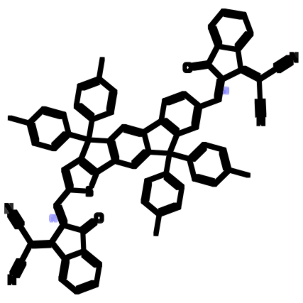 Cc1ccc(C2(c3ccc(C)cc3)c3cc(/C=C4\C(=O)c5ccccc5C4=C(C#N)C#N)ccc3-c3cc4c(cc32)-c2sc(/C=C3\C(=O)c5ccccc5C3=C(C#N)C#N)cc2C4(c2ccc(C)cc2)c2ccc(C)cc2)cc1